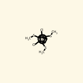 CS[C]12[C]3(Cl)[C]4(SC)[C]5(SC)[C]1(Cl)[Fe]32451678[CH]2[CH]1[CH]6[CH]7[CH]28